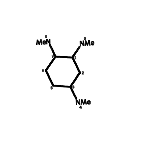 CN[C]1CC(NC)CCC1NC